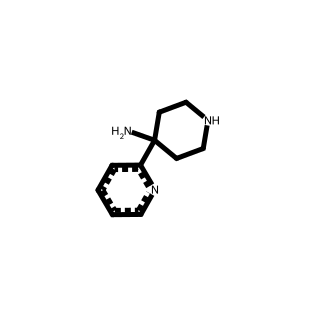 NC1(c2ccccn2)CCNCC1